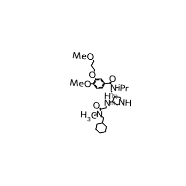 COCCCOc1cc(C(=O)N(C[C@@H]2CNC[C@H]2NCC(=O)N(C)CC2CCCCC2)C(C)C)ccc1OC